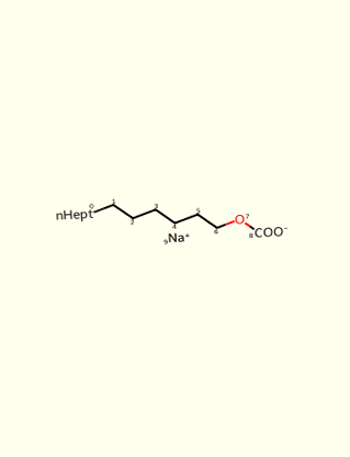 CCCCCCCCCCCCCOC(=O)[O-].[Na+]